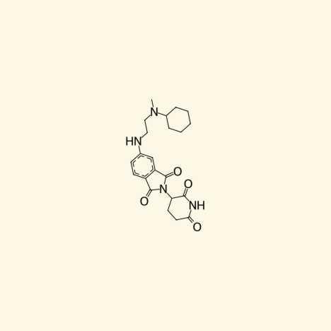 CN(CCNc1ccc2c(c1)C(=O)N(C1CCC(=O)NC1=O)C2=O)C1CCCCC1